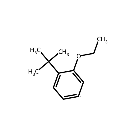 CCOc1c[c]ccc1C(C)(C)C